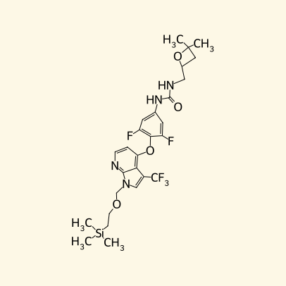 CC1(C)CC(CNC(=O)Nc2cc(F)c(Oc3ccnc4c3c(C(F)(F)F)cn4COCC[Si](C)(C)C)c(F)c2)O1